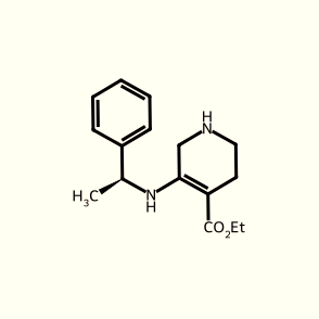 CCOC(=O)C1=C(N[C@@H](C)c2ccccc2)CNCC1